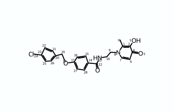 Cc1c(O)c(=O)ccn1CCNC(=O)c1ccc(OCc2ccc(Cl)cc2)cc1